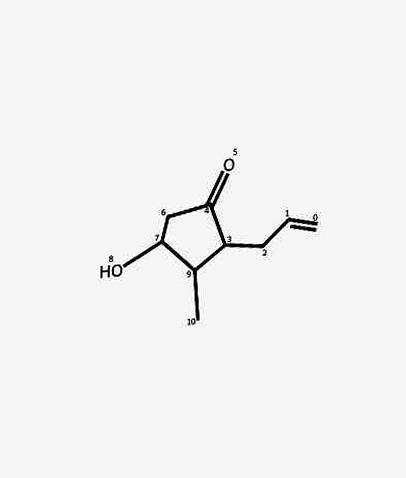 C=CCC1C(=O)CC(O)C1C